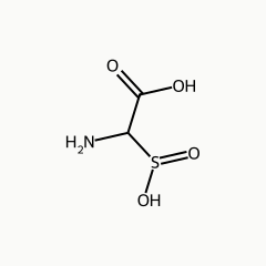 NC(C(=O)O)S(=O)O